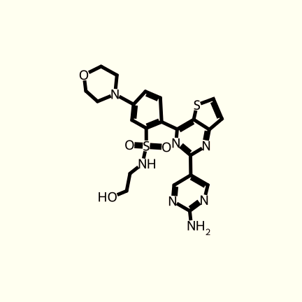 Nc1ncc(-c2nc(-c3ccc(N4CCOCC4)cc3S(=O)(=O)NCCO)c3sccc3n2)cn1